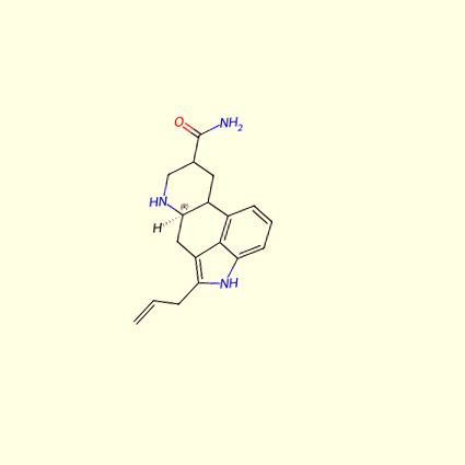 C=CCc1[nH]c2cccc3c2c1C[C@H]1NCC(C(N)=O)CC31